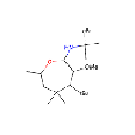 CCCC(C)(C)NC1OC(C)CC(C)(C)C(C(C)(C)C)C1OC